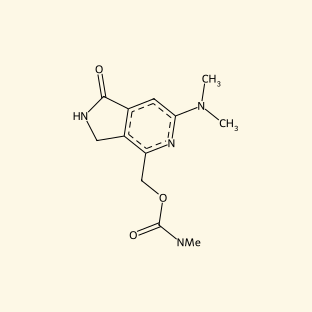 CNC(=O)OCc1nc(N(C)C)cc2c1CNC2=O